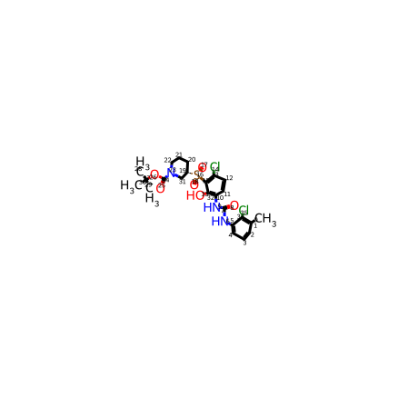 Cc1cccc(NC(=O)Nc2ccc(Cl)c(S(=O)(=O)[C@H]3CCCN(C(=O)OC(C)(C)C)C3)c2O)c1Cl